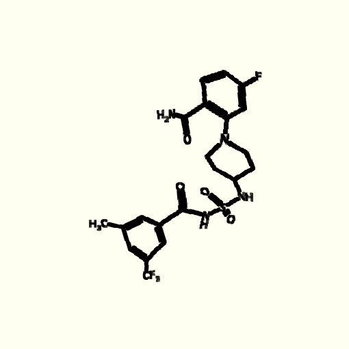 Cc1cc(C(=O)NS(=O)(=O)NC2CCN(c3cc(F)ccc3C(N)=O)CC2)cc(C(F)(F)F)c1